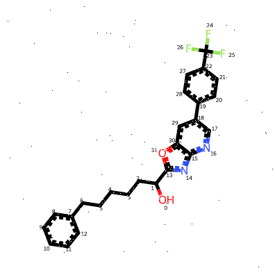 OC(CCCCCc1ccccc1)c1nc2ncc(-c3ccc(C(F)(F)F)cc3)cc2o1